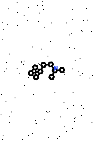 c1ccc(-c2cc(-c3ccccc3)nc(-c3cccc(-c4cccc(-c5ccc6c(c5)C5(c7ccccc7-c7ccccc75)c5ccccc5-6)c4)c3)c2)cc1